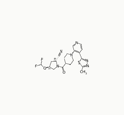 Cc1nnc(-c2ccncc2N2CCC(C(=O)N3C[C@@H](OC(F)F)C[C@@H]3C#N)CC2)s1